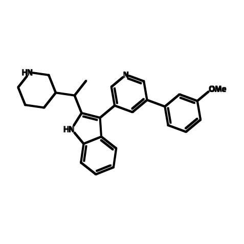 COc1cccc(-c2cncc(-c3c(C(C)C4CCCNC4)[nH]c4ccccc34)c2)c1